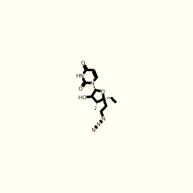 CC[C@@]1(CCN=[N+]=[N-])O[C@@H](n2ccc(=O)[nH]c2=O)C(O)[C@H]1C